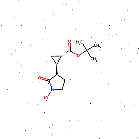 CC(C)(C)OC(=O)[C@H]1C[C@@H]1C1CCN(O)C1=O